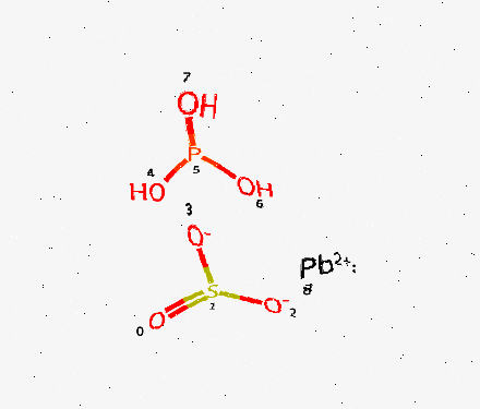 O=S([O-])[O-].OP(O)O.[Pb+2]